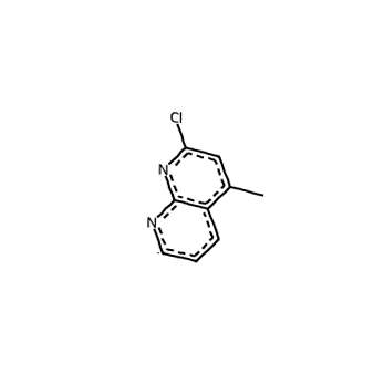 Cc1cc(Cl)nc2n[c]ccc12